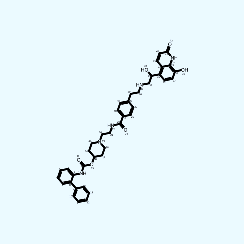 O=C(Nc1ccccc1-c1ccccc1)OC1CCN(CCNC(=O)c2ccc(CCNCC(O)c3ccc(O)c4[nH]c(=O)ccc34)cc2)CC1